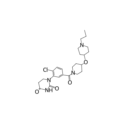 CCCN1CCC(OC2CCN(C(=O)c3ccc(Cl)c(N4CCC(=O)NC4=O)c3)CC2)CC1